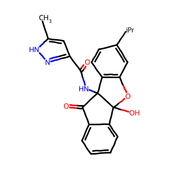 Cc1cc(C(=O)NC23C(=O)c4ccccc4C2(O)Oc2cc(C(C)C)ccc23)n[nH]1